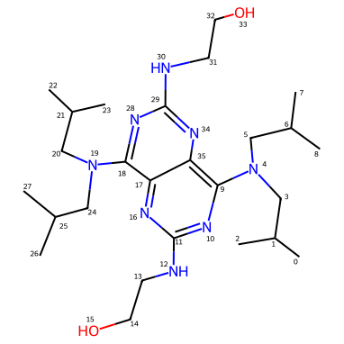 CC(C)CN(CC(C)C)c1nc(NCCO)nc2c(N(CC(C)C)CC(C)C)nc(NCCO)nc12